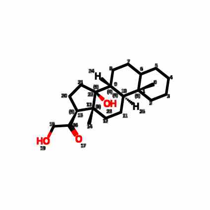 C[C@]12CCCCC1CC[C@@H]1[C@@H]2CC[C@]2(C)[C@@H](C(=O)CO)CC[C@]12O